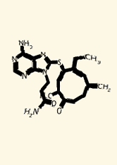 C=C1/C=C(CC)\C(Sc2nc3c(N)ncnc3n2CCC(N)=O)=C/C(C)C(=O)CC1